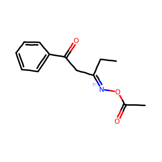 CC/C(CC(=O)c1ccccc1)=N\OC(C)=O